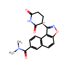 CN(C)C(=O)c1ccc2c(ccc3onc([C@@H]4CCC(=O)NC4=O)c32)c1